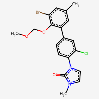 COCOc1c(Br)cc(C)cc1-c1ccc(-n2ccn(C)c2=O)c(Cl)c1